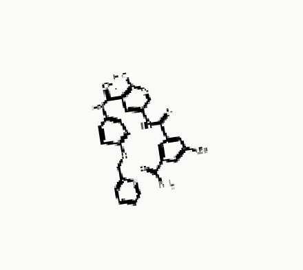 C=C(Nc1ccc(OCc2ccccn2)cc1)c1cc(NC(=O)c2cc(C(N)=O)cc(C(C)(C)C)c2)cnc1C